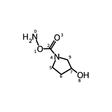 NOC(=O)N1CCC(O)C1